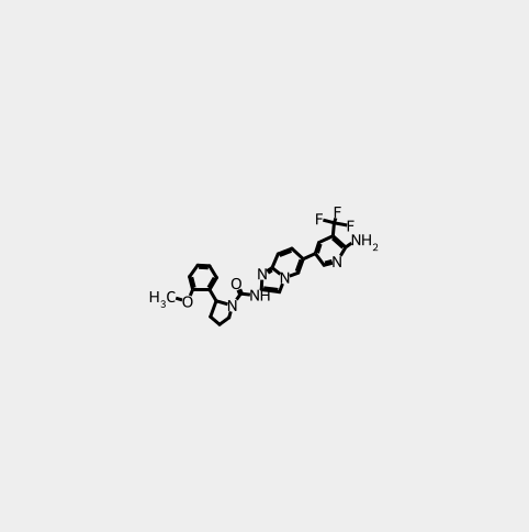 COc1ccccc1C1CCCN1C(=O)Nc1cn2cc(-c3cnc(N)c(C(F)(F)F)c3)ccc2n1